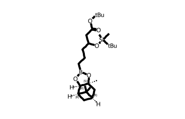 CC(C)(C)OC(=O)CC(CCCB1O[C@@H]2[C@@H]3C[C@H](C[C@]2(C)O1)C3(C)C)O[Si](C)(C)C(C)(C)C